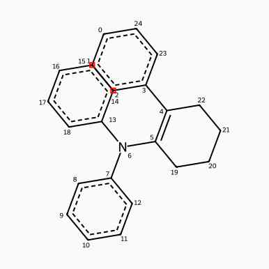 c1ccc(C2=C(N(c3ccccc3)c3ccccc3)CCCC2)cc1